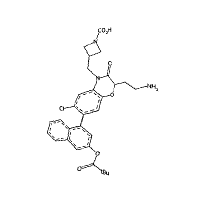 CC(C)(C)C(=O)Oc1cc(-c2cc3c(cc2Cl)N(CC2CN(C(=O)O)C2)C(=O)C(CCN)O3)c2ccccc2c1